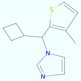 Cc1ccsc1C(C1CCC1)n1ccnc1